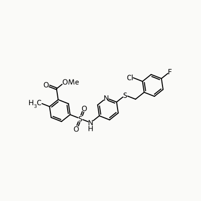 COC(=O)c1cc(S(=O)(=O)Nc2ccc(SCc3ccc(F)cc3Cl)nc2)ccc1C